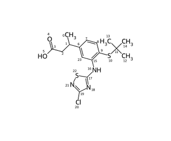 CC(CC(=O)O)c1ccc(SC(C)(C)C)c(Nc2nc(Cl)ns2)c1